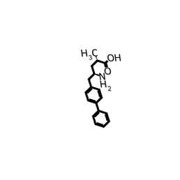 C[C@@H](C[C@@H](N)Cc1ccc(-c2ccccc2)cc1)C(=O)O